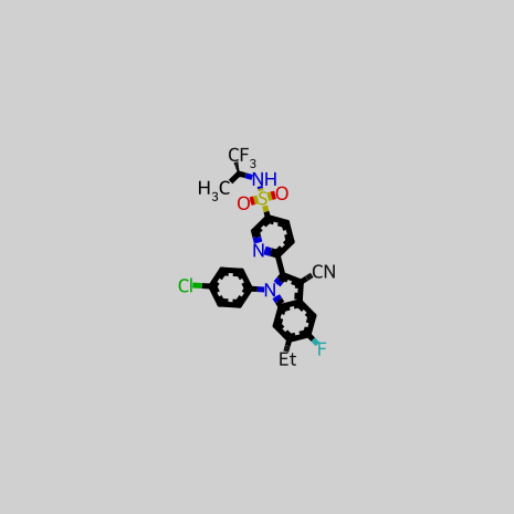 CCc1cc2c(cc1F)c(C#N)c(-c1ccc(S(=O)(=O)N[C@@H](C)C(F)(F)F)cn1)n2-c1ccc(Cl)cc1